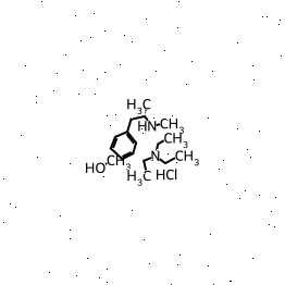 CCN(CC)CC.CN[C@@H](C)Cc1ccccc1.CO.Cl